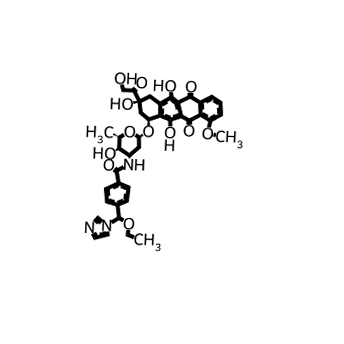 CCOC(c1ccc(C(=O)N[C@H]2C[C@H](O[C@H]3C[C@](O)(C(=O)CO)Cc4c(O)c5c(c(O)c43)C(=O)c3c(OC)cccc3C5=O)O[C@@H](C)[C@H]2O)cc1)n1ccnc1